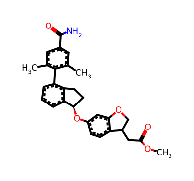 COC(=O)CC1COc2cc(O[C@@H]3CCc4c(-c5c(C)cc(C(N)=O)cc5C)cccc43)ccc21